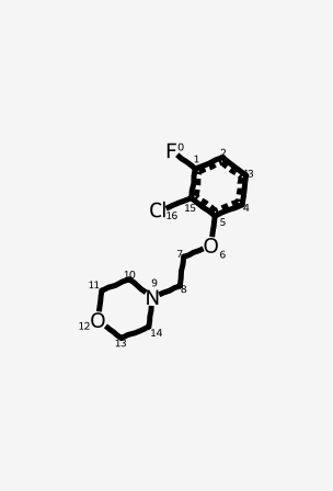 Fc1c[c]cc(OCCN2CCOCC2)c1Cl